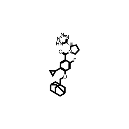 O=C(c1cc(C2CC2)c(OCC23CC4CC(CC(C4)C2)C3)cc1F)N1CCC[C@H]1c1nnn[nH]1